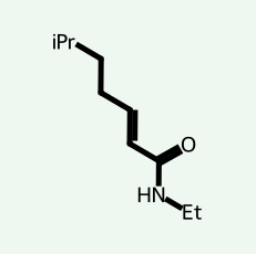 CCNC(=O)C=CCCC(C)C